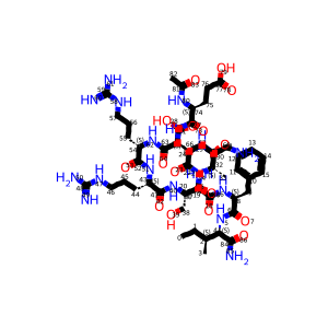 CC[C@H](C)[C@H](NC(=O)[C@H](Cc1ccccc1)NC(=O)[C@H](C)NC(=O)[C@H](CC(=O)O)NC(=O)[C@H](C)NC(=O)[C@H](CO)NC(=O)[C@H](CCCNC(=N)N)NC(=O)[C@H](CCCNC(=N)N)NC(=O)[C@H](CCCCN)NC(=O)[C@H](CCC(=O)O)NC(C)=O)C(N)=O